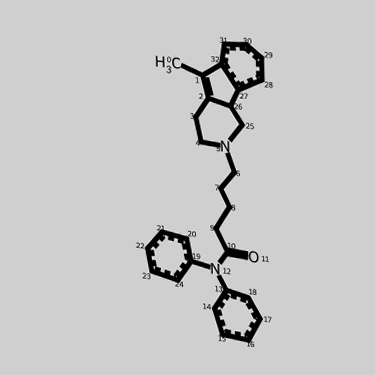 CC1=C2CCN(CCCCC(=O)N(c3ccccc3)c3ccccc3)CC2c2ccccc21